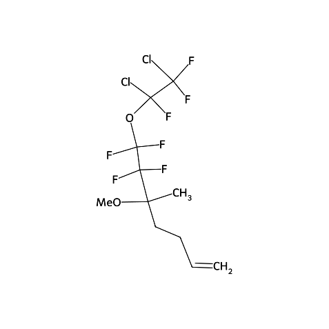 C=CCCC(C)(OC)C(F)(F)C(F)(F)OC(F)(Cl)C(F)(F)Cl